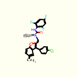 CCCCCCCCCN(Cc1oc2ccc(C)cc2c1-c1ccc(Cl)cc1)C(=O)Nc1c(F)cc(F)cc1F